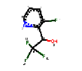 OC(c1ncccc1F)C(F)(F)F